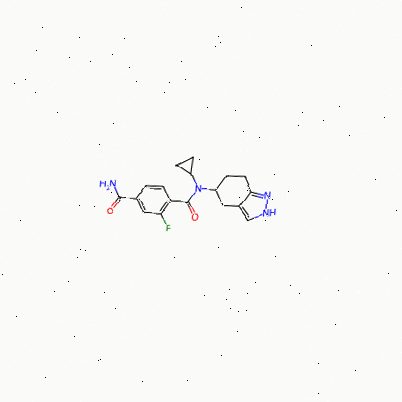 NC(=O)c1ccc(C(=O)N(C2CC2)C2CCc3n[nH]cc3C2)c(F)c1